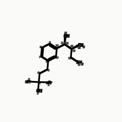 CCCC(O)(CCC)CCc1cccc([C@@H](O)[C@@H](C)CN)c1